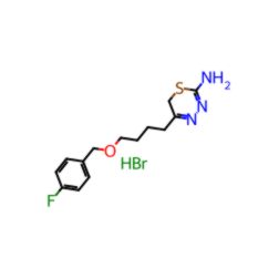 Br.NC1=NN=C(CCCCOCc2ccc(F)cc2)CS1